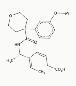 C/C=C(\C=C/CC(=O)O)[C@H](C)NC(=O)C1(c2cccc(OC(C)C)c2)CCOCC1